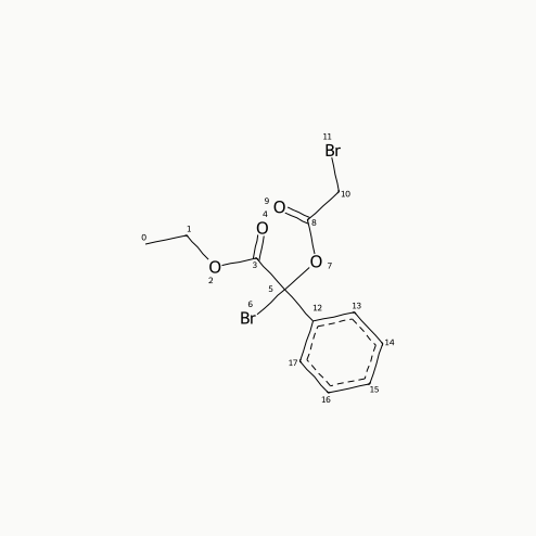 CCOC(=O)C(Br)(OC(=O)CBr)c1ccccc1